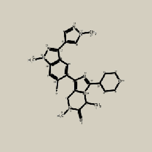 CC1C(=O)N(C)Cc2c(-c3cc4c(-c5cnn(C)c5)nn(C)c4cc3F)nc(C3CCOCC3)n21